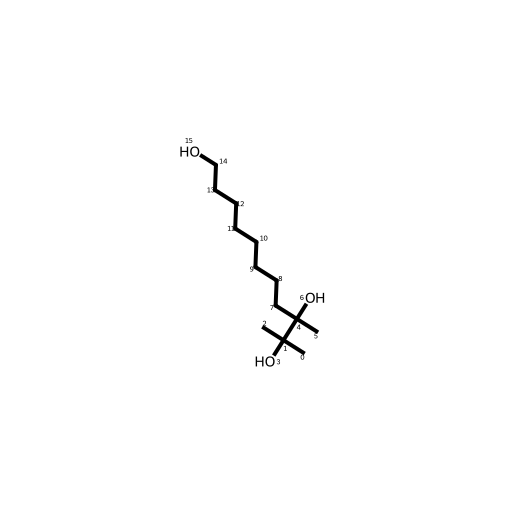 CC(C)(O)C(C)(O)CCCCCCCCO